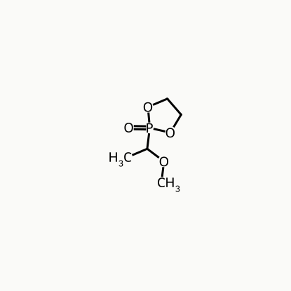 COC(C)P1(=O)OCCO1